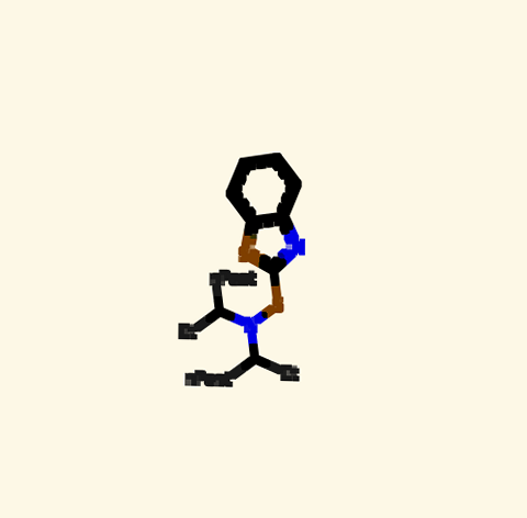 CCCCCC(CC)N(Sc1nc2ccccc2s1)C(CC)CCCCC